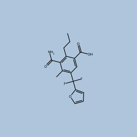 CCCc1c(C(=O)O)cc(C(F)(F)c2ccco2)c(C)c1C(N)=O